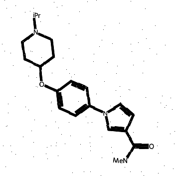 CNC(=O)c1ccn(-c2ccc(OC3CCN(C(C)C)CC3)cc2)c1